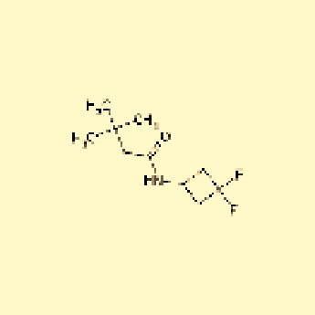 CC(C)(C)CC(=O)NC1CC(F)(F)C1